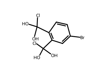 OC(O)(Cl)c1ccc(Br)cc1C(O)(O)Cl